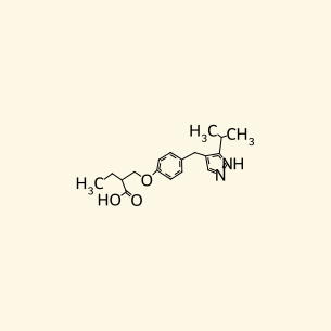 CCC(COc1ccc(Cc2cn[nH]c2C(C)C)cc1)C(=O)O